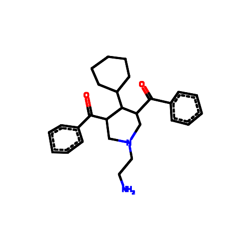 NCCN1CC(C(=O)c2ccccc2)C(C2CCCCC2)C(C(=O)c2ccccc2)C1